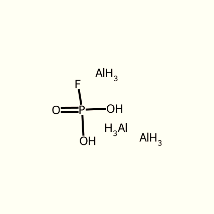 O=P(O)(O)F.[AlH3].[AlH3].[AlH3]